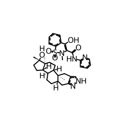 CN1C(C(=O)Nc2ccccn2)=C(O)c2ccccc2S1(=O)=O.C[C@]12Cc3c[nH]nc3C[C@@H]1CC[C@@H]1[C@@H]2CC[C@@]2(C)[C@H]1CC[C@]2(C)O